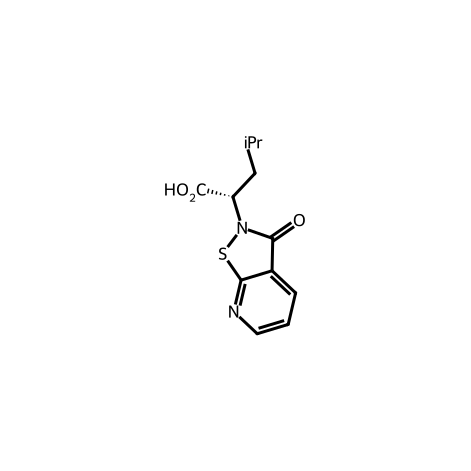 CC(C)C[C@@H](C(=O)O)n1sc2ncccc2c1=O